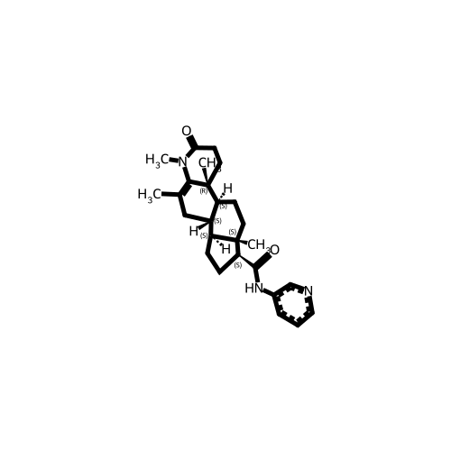 CC1=C2N(C)C(=O)CC[C@]2(C)[C@H]2CC[C@]3(C)[C@@H](C(=O)Nc4cccnc4)CC[C@H]3[C@@H]2C1